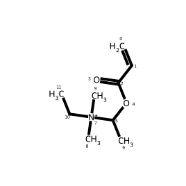 C=CC(=O)OC(C)[N+](C)(C)CC